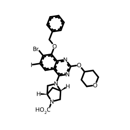 O=C(O)N1C[C@@H]2C[C@H]1CN2c1nc(OC2CCOCC2)nc2c(OCc3ccccc3)c(Br)c(I)cc12